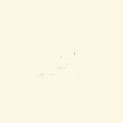 CCCCCCCCCCCN1C=CN(CCCCCCCCCCC)C1CCCCCC